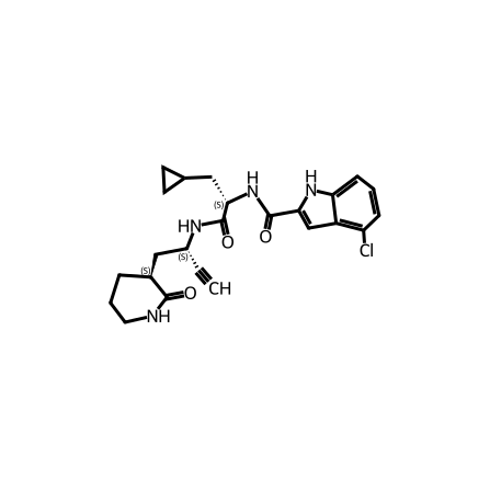 C#C[C@H](C[C@@H]1CCCNC1=O)NC(=O)[C@H](CC1CC1)NC(=O)c1cc2c(Cl)cccc2[nH]1